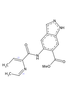 C/C=N\C(=C/C)C(=O)Nc1cc2cn[nH]c2cc1C(=O)OC